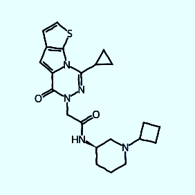 O=C(Cn1nc(C2CC2)n2c(cc3ccsc32)c1=O)N[C@@H]1CCCN(C2CCC2)C1